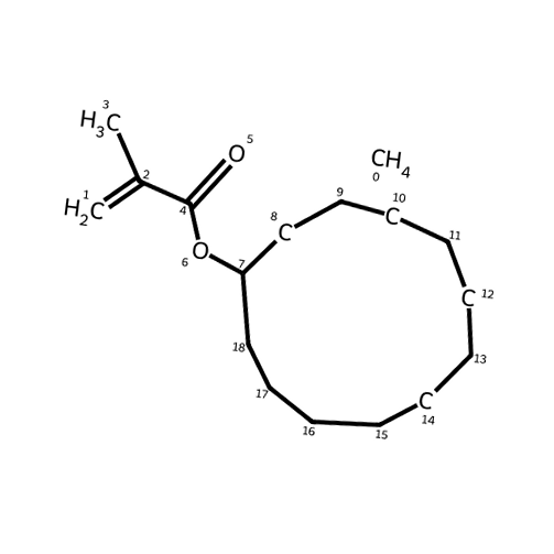 C.C=C(C)C(=O)OC1CCCCCCCCCCC1